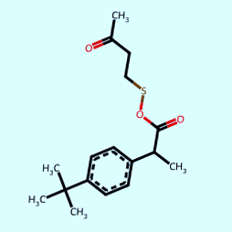 CC(=O)CCSOC(=O)C(C)c1ccc(C(C)(C)C)cc1